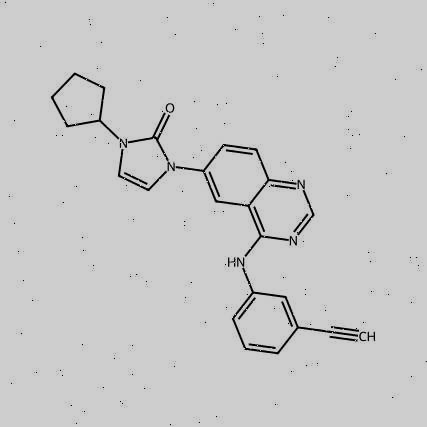 C#Cc1cccc(Nc2ncnc3ccc(-n4ccn(C5CCCC5)c4=O)cc23)c1